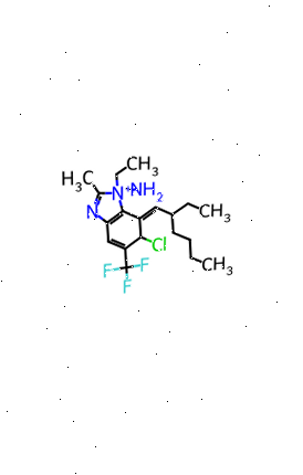 CCCCC(C=C1C2=C(C=C(C(F)(F)F)C1Cl)N=C(C)[N+]2(N)CC)CC